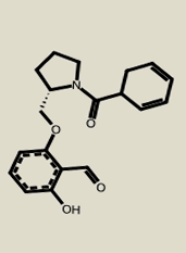 O=Cc1c(O)cccc1OC[C@@H]1CCCN1C(=O)C1C=CC=CC1